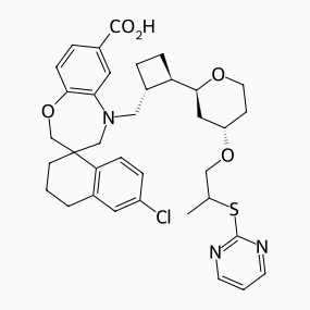 CC(CO[C@H]1CCO[C@H]([C@@H]2CC[C@H]2CN2CC3(CCCc4cc(Cl)ccc43)COc3ccc(C(=O)O)cc32)C1)Sc1ncccn1